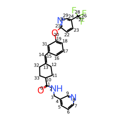 O=C(NCc1cccnc1)C1CCC(=Cc2cccc(Oc3ccc(C(F)(F)F)cn3)c2)CC1